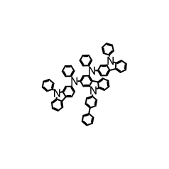 c1ccc(-c2ccc(-n3c4ccccc4c4c(N(c5ccccc5)c5ccc6c7ccccc7n(-c7ccccc7)c6c5)cc(N(c5ccccc5)c5ccc6c7ccccc7n(-c7ccccc7)c6c5)cc43)cc2)cc1